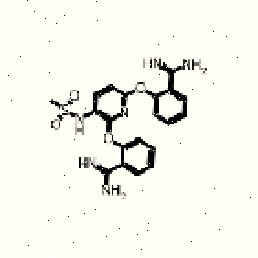 CS(=O)(=O)Nc1ccc(Oc2ccccc2C(=N)N)nc1Oc1ccccc1C(=N)N